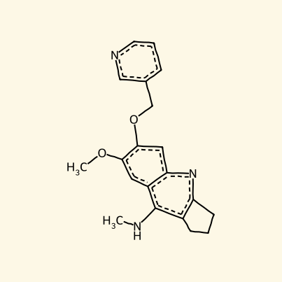 CNc1c2c(nc3cc(OCc4cccnc4)c(OC)cc13)CCC2